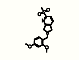 COc1ccc(CN2Cc3ccc(S(C)(=O)=O)nc3C2)c(OC)c1